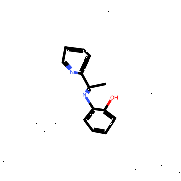 C/C(=N\c1ccccc1O)c1ccccn1